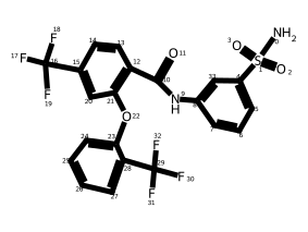 NS(=O)(=O)c1cccc(NC(=O)c2ccc(C(F)(F)F)cc2Oc2ccccc2C(F)(F)F)c1